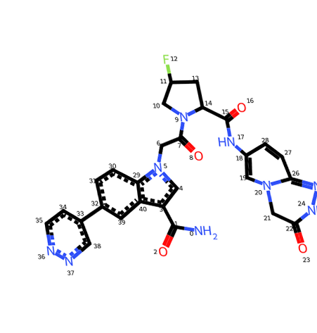 NC(=O)c1cn(CC(=O)N2CC(F)CC2C(=O)NC2=CN3CC(=O)NN=C3C=C2)c2ccc(-c3ccnnc3)cc12